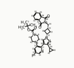 CC(C)(C)OC(=O)N1CCN(c2cc(F)cnc2-c2cn([C@H]3C[C@H](CN4C(=O)c5ccccc5C4=O)C3)nc2C2CC2)CC1